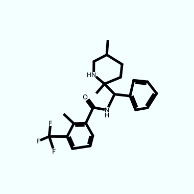 Cc1c(C(=O)NC(c2ccccc2)C2(C)CCC(C)CN2)cccc1C(F)(F)F